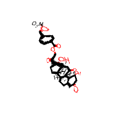 C[C@]12CC(=O)[C@H]3[C@@H](CCC4=CC(=O)CC(O)[C@@]43C)[C@@H]1CC[C@]2(O)C(=O)COC(=O)c1ccc(CO[N+](=O)[O-])cc1